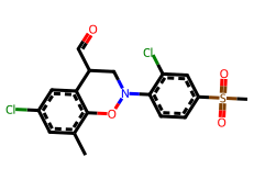 Cc1cc(Cl)cc2c1ON(c1ccc(S(C)(=O)=O)cc1Cl)CC2C=O